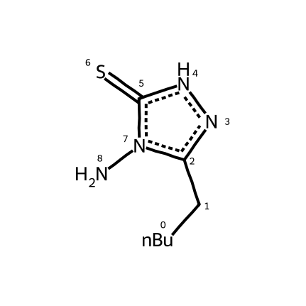 CCCCCc1n[nH]c(=S)n1N